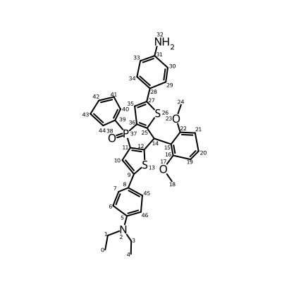 CCN(CC)c1ccc(-c2cc3c(s2)C(c2c(OC)cccc2OC)c2sc(-c4ccc(N)cc4)cc2P3(=O)c2ccccc2)cc1